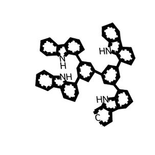 c1ccc2c(c1)[nH]c1c(-c3cc(-c4cc(-c5cccc6c5[nH]c5ccccc56)cc(-c5cccc6c5[nH]c5ccccc56)c4)cc(-c4cccc5c4[nH]c4ccccc45)c3)cccc12